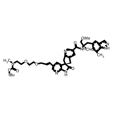 COC[C@](C=O)(Cc1cc(C)c2[nH]ncc2c1)NC(=O)c1cnc2c(c1)C[C@@]1(C2)C(=O)Nc2ncc(/C=C/COCCOCCN(C)C(=O)OC(C)(C)C)cc21